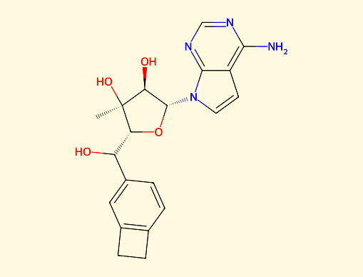 C[C@@]1(O)[C@@H](C(O)c2ccc3c(c2)CC3)O[C@@H](n2ccc3c(N)ncnc32)[C@@H]1O